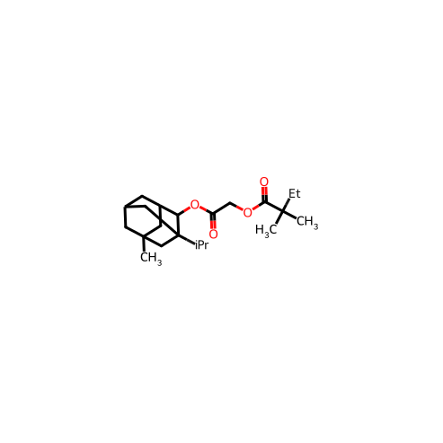 CCC(C)(C)C(=O)OCC(=O)OC1C2CC3CC(C)(C2)CC1(C(C)C)C3